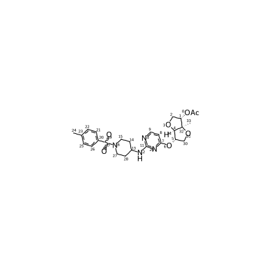 CC(=O)O[C@H]1CO[C@@H]2[C@@H](Oc3ccnc(NC4CCN(S(=O)(=O)c5ccc(C)cc5)CC4)n3)CO[C@]12C